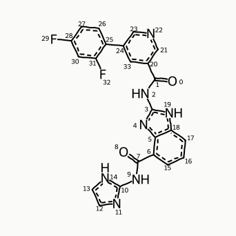 O=C(Nc1nc2c(C(=O)Nc3ncc[nH]3)cccc2[nH]1)c1cncc(-c2ccc(F)cc2F)c1